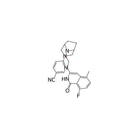 Cc1ccc(F)c2c(=O)[nH]c(CCCN3C4CCC3CN(c3ccc(C#N)cn3)C4)cc12